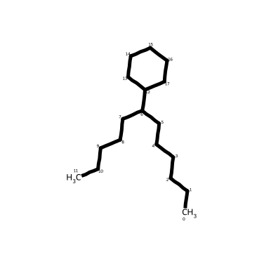 CCCCCCC(CCCCC)C1CCCCC1